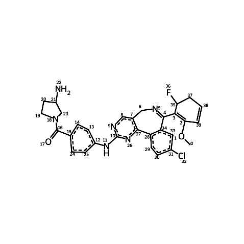 COC1=C(C2=NCc3cnc(Nc4ccc(C(=O)N5CCC(N)C5)cc4)nc3-c3ccc(Cl)cc32)C(F)CC=C1